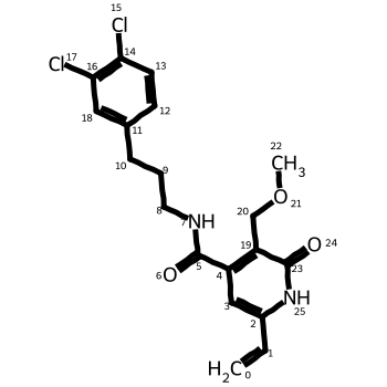 C=Cc1cc(C(=O)NCCCc2ccc(Cl)c(Cl)c2)c(COC)c(=O)[nH]1